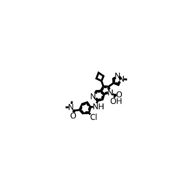 CN(C)C(=O)c1ccc(Nc2cc3c(cn2)c(C2CCC2)c(-c2cnn(C)c2)n3C(=O)O)c(Cl)c1